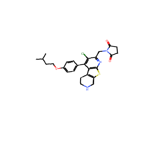 CC(C)CCOc1ccc(-c2c(Cl)c(CN3C(=O)CCC3=O)nc3sc4c(c23)CCNC4)cc1